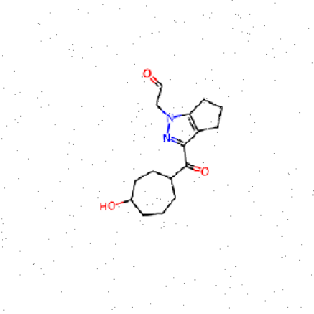 O=CCn1nc(C(=O)C2CCCC(O)CC2)c2c1CCC2